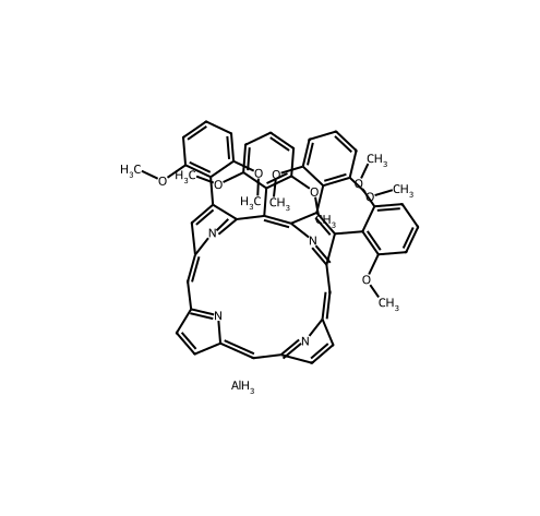 COc1cccc(OC)c1C1=CC2=CC3=NC(=CC4=NC(=CC5=NC(=C(c6c(OC)cccc6OC)C1=N2)C(c1c(OC)cccc1OC)=C5c1c(OC)cccc1OC)C=C4)C=C3.[AlH3]